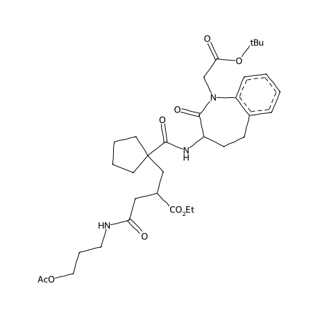 CCOC(=O)C(CC(=O)NCCCOC(C)=O)CC1(C(=O)NC2CCc3ccccc3N(CC(=O)OC(C)(C)C)C2=O)CCCC1